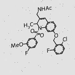 COc1cc(S(=O)(=O)N2c3cc(OCc4c(F)cccc4Cl)ccc3C=C(CNC(C)=O)C2C)ccc1F